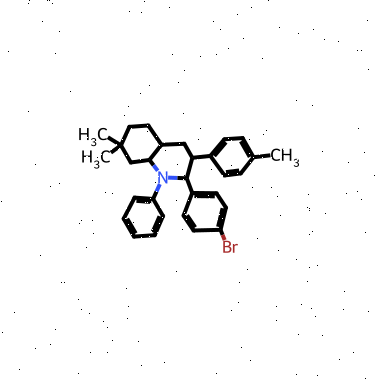 Cc1ccc(C2CC3CCC(C)(C)CC3N(c3ccccc3)C2c2ccc(Br)cc2)cc1